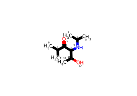 CC(C)NC(C(=O)C(C)C)C(C)O